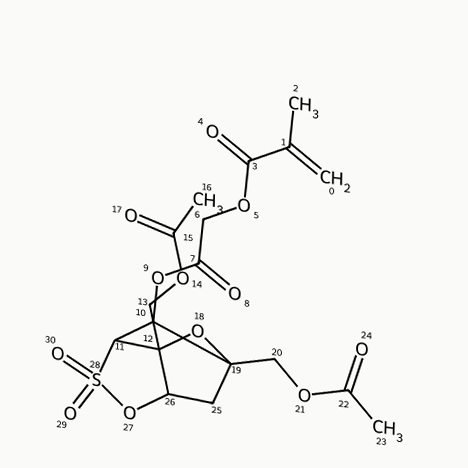 C=C(C)C(=O)OCC(=O)OC1C2C3(COC(C)=O)OC1(COC(C)=O)CC3OS2(=O)=O